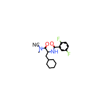 CN(C#N)C(=O)C(CC1CCCCC1)NC(=O)c1cc(F)ccc1F